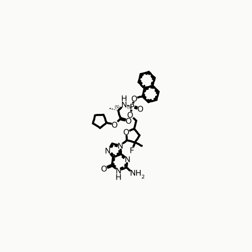 C[C@H](N[P@](=O)(OCC1CC(C)(F)C(n2cnc3c(=O)[nH]c(N)nc32)O1)Oc1cccc2ccccc12)C(=O)OC1CCCC1